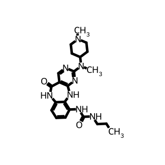 CCCNC(=O)Nc1cccc2c1Nc1nc(N(C)C3CCN(C)CC3)ncc1C(=O)N2